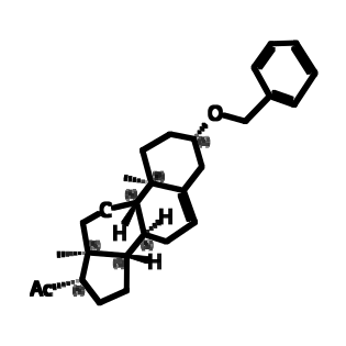 CC(=O)[C@H]1CC[C@H]2[C@@H]3CC=C4C[C@@H](OCc5ccccc5)CC[C@]4(C)[C@H]3CC[C@]12C